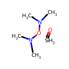 CN(C)ON(C)C.O=[SiH2]